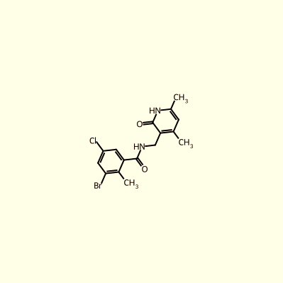 Cc1cc(C)c(CNC(=O)c2cc(Cl)cc(Br)c2C)c(=O)[nH]1